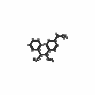 COc1ccc(N(N)C(C)c2ccccc2)cc1